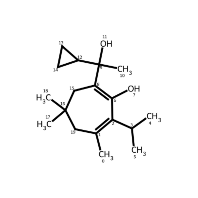 CC1=C(C(C)C)C(O)=C(C(C)(O)C2CC2)CC(C)(C)C1